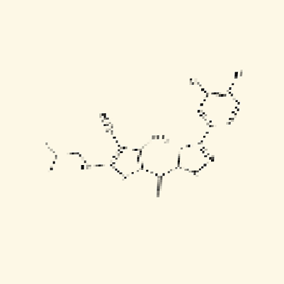 CC(C)CNc1sc(C(=O)c2cc(-c3ccc(Cl)c(Cl)c3)no2)c(N)c1C#N